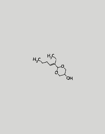 CCCC=C(CC)C1OCC(O)CO1